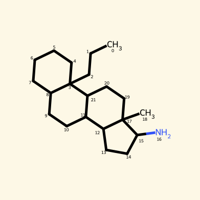 CCCC12CCCCC1CCC1C3CCC(N)C3(C)CCC12